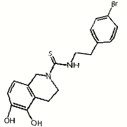 Oc1ccc2c(c1O)CCN(C(=S)NCCc1ccc(Br)cc1)C2